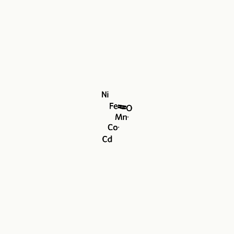 [Cd].[Co].[Mn].[Ni].[O]=[Fe]